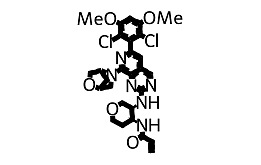 C=CC(=O)N[C@H]1CCOC[C@H]1Nc1ncc2cc(-c3c(Cl)c(OC)cc(OC)c3Cl)nc(N3CC4CC3CO4)c2n1